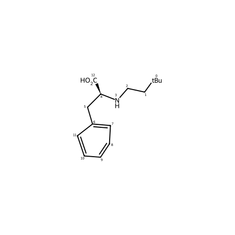 CC(C)(C)CCN[C@@H](Cc1ccccc1)C(=O)O